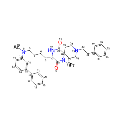 CCCN1C(=O)[C@H](CCCCN(C(C)=O)c2cccc(-c3ccccc3)c2)NC(=O)C12CCN(CCc1ccccc1)CC2